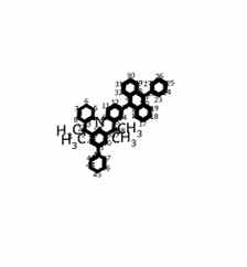 CC1(C)C2=C(CCC=C2)N2c3ccc(-c4c5ccccc5c(-c5ccccc5)c5ccccc45)cc3C(C)(C)c3cc(C4=CCCC=C4)cc1c32